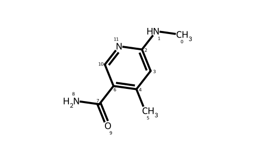 CNc1cc(C)c(C(N)=O)cn1